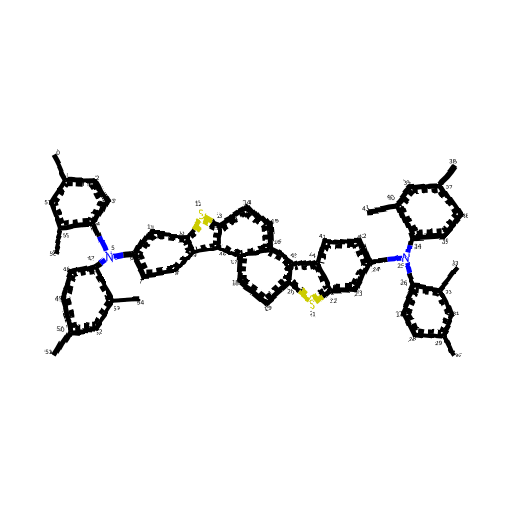 Cc1ccc(N(c2ccc3c(c2)sc2ccc4c(ccc5sc6cc(N(c7ccc(C)cc7C)c7ccc(C)cc7C)ccc6c54)c23)c2ccc(C)cc2C)c(C)c1